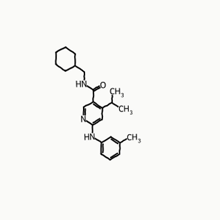 Cc1cccc(Nc2cc(C(C)C)c(C(=O)NCC3CCCCC3)cn2)c1